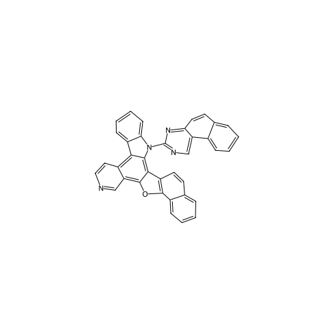 c1ccc2c(c1)ccc1nc(-n3c4ccccc4c4c5ccncc5c5oc6c7ccccc7ccc6c5c43)ncc12